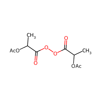 CC(=O)OC(C)C(=O)OOC(=O)C(C)OC(C)=O